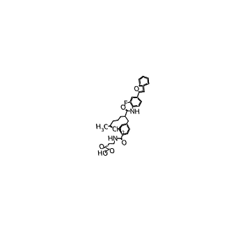 C=C(C)CCCC(Cc1ccc(C(=O)NCCS(=O)(=O)O)cc1)C(=O)Nc1ccc(-c2cc3ccccc3o2)cc1F